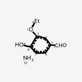 CCOc1cc(C=O)ccc1O.N